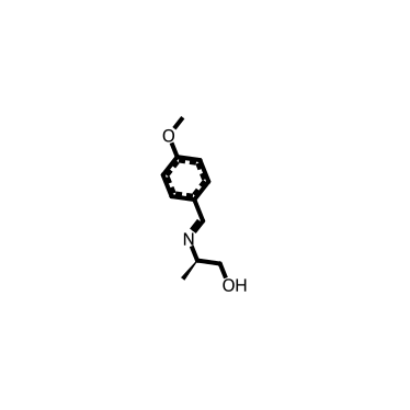 COc1ccc(C=N[C@H](C)CO)cc1